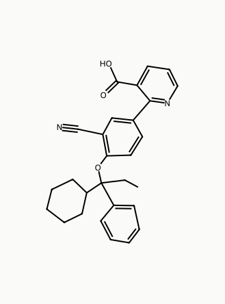 CCC(Oc1ccc(-c2ncccc2C(=O)O)cc1C#N)(c1ccccc1)C1CCCCC1